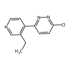 CCc1cnccc1-c1ccc(Cl)nn1